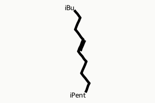 CCCC(C)CCC/C=C/CCC(C)CC